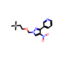 C[Si](C)(C)CCOCn1cc([N+](=O)[O-])c(-c2cccnc2)n1